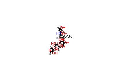 COC1[C@H](O[C@@H]2C(O)[C@H](O[C@@H]3C(O)[C@H](OC4[C@H](C)OC(C)[C@H](O)[C@@H]4O)OC(C)[C@@H]3O)OC(C)[C@@H]2O)OC(C)[C@@H](NC(=O)CC(C)(C)O)[C@@H]1O